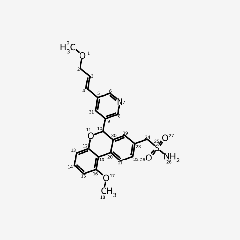 COC/C=C/c1cncc(C2Oc3cccc(OC)c3-c3ccc(CS(N)(=O)=O)cc32)c1